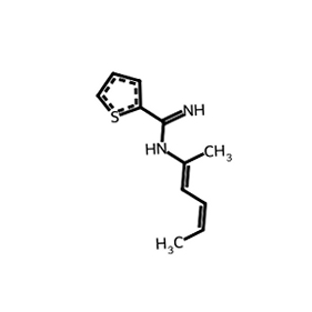 C/C=C\C=C(/C)NC(=N)c1cccs1